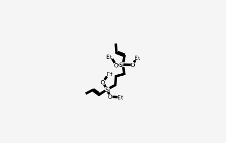 CC=C[Si](CCC[Si](C=CC)(OCC)OCC)(OCC)OCC